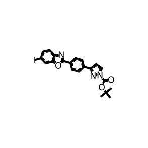 CC(C)(C)OC(=O)n1ccc(-c2ccc(-c3nc4ccc(I)cc4o3)cc2)n1